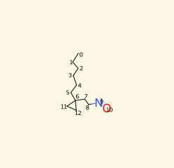 CCCCCCC1(CCN=O)CC1